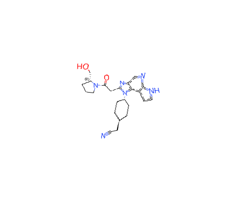 N#CC[C@H]1CC[C@H](n2c(CC(=O)N3CCC[C@@H]3CO)nc3cnc4[nH]ccc4c32)CC1